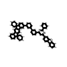 C1=C(c2cccc(-c3cc(-c4ccc5c(c4)oc4ccccc45)nc(-c4ccccc4)n3)c2)C=C(c2ccc3c(c2)-c2cc4c(cc2C32CCCCC2)-c2ccccc2C42CCCCC2)CC1